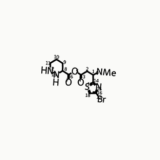 CNC(CC(=O)OC(=O)C1CCCNN1)c1nc(Br)cs1